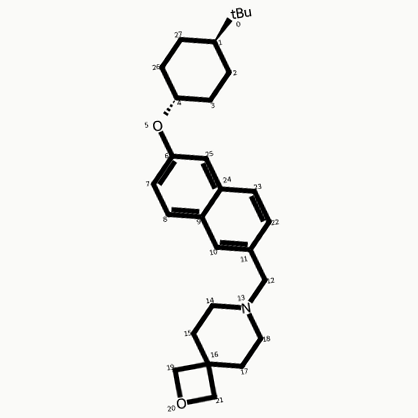 CC(C)(C)[C@H]1CC[C@H](Oc2ccc3cc(CN4CCC5(CC4)COC5)ccc3c2)CC1